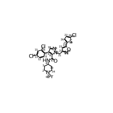 CC(C)N1CCC(NC(=O)c2c(-c3ccc(Cl)cc3Cl)cnn2Cc2cc(-c3ccc(Cl)s3)on2)CC1